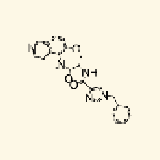 CN1C(=O)C(NC(=O)c2cn(Cc3ccccc3)cn2)COc2ccc3cnccc3c21